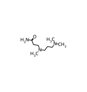 CN(C)CCCN(C)CCC(N)=O